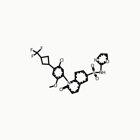 COc1cc(C2CC(C(F)(F)F)C2)c(Cl)cc1-n1c(=O)ccc2cc(S(=O)(=O)Nc3ncco3)ccc21